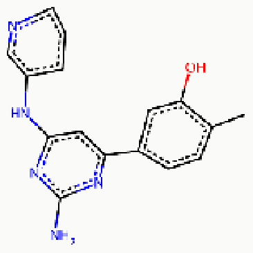 Cc1ccc(-c2cc(Nc3cccnc3)nc(N)n2)cc1O